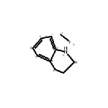 CF.c1ccc2c(c1)CCCN2